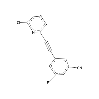 N#Cc1cc(F)cc(C#Cc2cncc(Cl)n2)c1